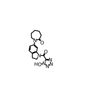 O=C1CCCCCN1c1ccc2c(c1)N(C(=O)c1nnnn1O)CC2